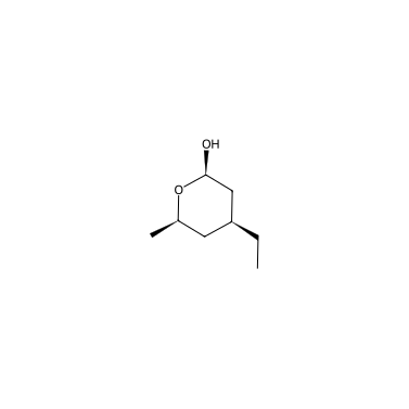 CC[C@H]1C[C@@H](C)O[C@@H](O)C1